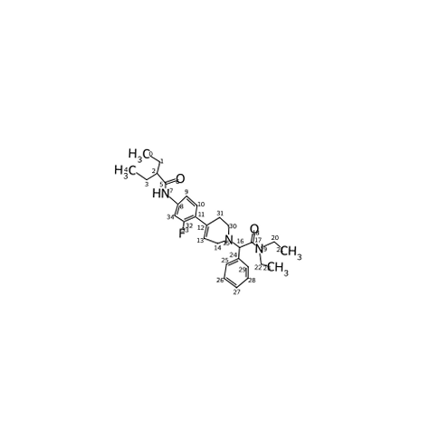 CCC(CC)C(=O)Nc1ccc(C2=CCN(C(C(=O)N(CC)CC)c3ccccc3)CC2)c(F)c1